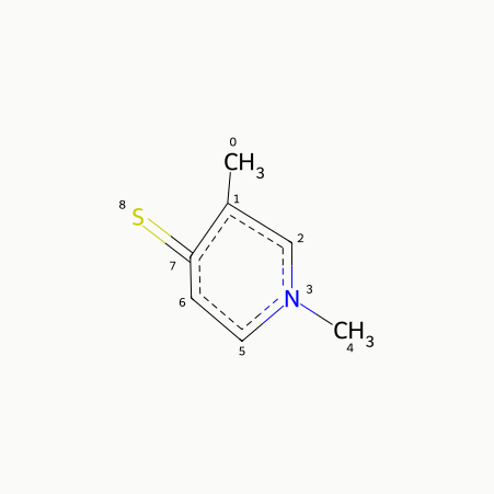 Cc1cn(C)ccc1=S